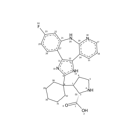 O=C(O)[C@H]1NCCC1C1(c2nc3c([nH]2)-c2cccnc2Nc2cc(F)ccc2-3)CCCCC1